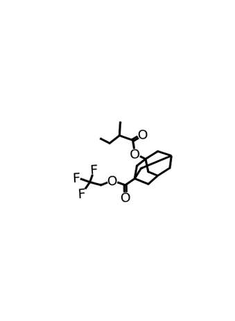 CCC(C)C(=O)OC12CC3CC(C1)CC(C(=O)OCC(F)(F)F)(C3)C2